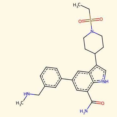 CCS(=O)(=O)N1CCC(c2c[nH]c3c(C(N)=O)cc(-c4cccc(CNC)c4)cc23)CC1